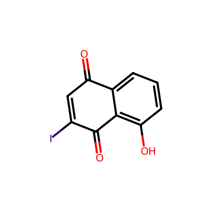 O=C1C=C(I)C(=O)c2c(O)cccc21